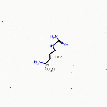 Br.N=C(N)NCCC[C@@H](N)C(=O)O